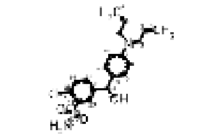 C=CCN(CC=C)c1ccc(C(O)c2ccc(Cl)c(S(N)(=O)=O)c2)cc1